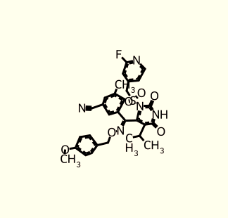 COc1ccc(CON=C(c2cc(C)cc(C#N)c2)c2c(C(C)C)c(=O)[nH]c(=O)n2S(=O)(=O)Cc2ccnc(F)c2)cc1